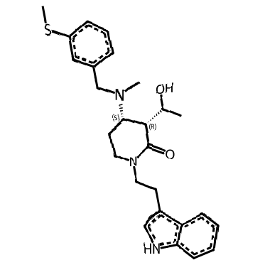 CSc1cccc(CN(C)[C@H]2CCN(CCc3c[nH]c4ccccc34)C(=O)[C@H]2C(C)O)c1